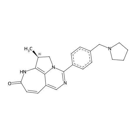 C[C@H]1CN2C(c3ccc(CN4CCCC4)cc3)=NC=C3C=CC(=O)NC1=C32